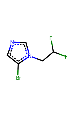 FC(F)Cn1cncc1Br